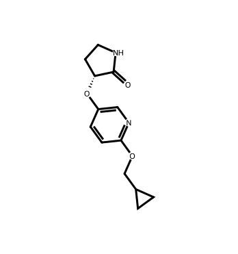 O=C1NCC[C@H]1Oc1ccc(OCC2CC2)nc1